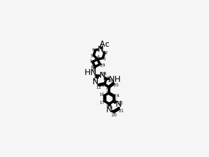 CC(=O)N1CCC2(CC1)CC(Nc1ncc3c(-c4ccc5nccnc5c4)c[nH]c3n1)C2